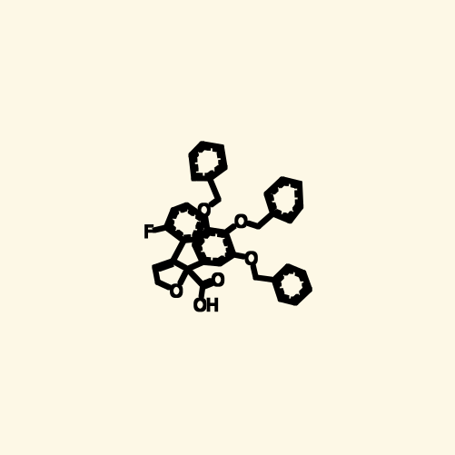 O=C(O)C1(c2cc(OCc3ccccc3)c(OCc3ccccc3)c(OCc3ccccc3)c2)OCC=C1c1ccccc1F